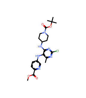 COC(=O)c1ccc(Nc2c(C)nc(Cl)nc2NC2CCN(C(=O)OC(C)(C)C)CC2)cn1